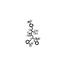 O=C(Cc1ccc([N+](=O)[O-])cc1)C(C(O)O)C1C(=O)NC1CC(SCc1ccccc1[N+](=O)[O-])SCc1ccccc1[N+](=O)[O-]